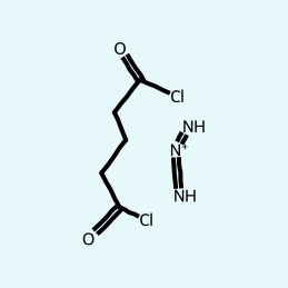 N=[N+]=N.O=C(Cl)CCCC(=O)Cl